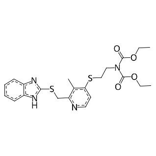 CCOC(=O)N(CCSc1ccnc(CSc2nc3ccccc3[nH]2)c1C)C(=O)OCC